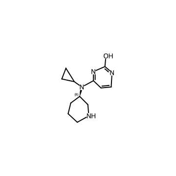 Oc1nccc(N(C2CC2)[C@@H]2CCCNC2)n1